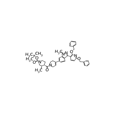 C[C@H]1CN(C(=O)OC(C)(C)C)CC[C@H]1C(=O)N1CC=C(c2ccc3c(-c4ccc(OCc5ccccc5)nc4OCc4ccccc4)nn(C)c3c2)CC1